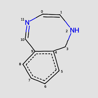 C1=CNCc2ccccc2C=N1